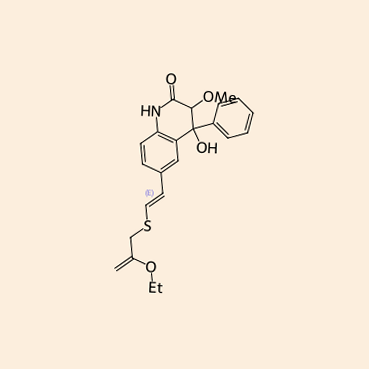 C=C(CS/C=C/c1ccc2c(c1)C(O)(c1ccccc1)C(OC)C(=O)N2)OCC